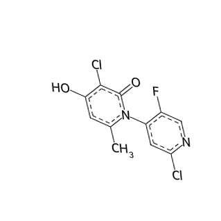 Cc1cc(O)c(Cl)c(=O)n1-c1cc(Cl)ncc1F